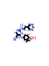 CC1(C)C[C@H](Nc2nc(NCCc3cncnc3)ncc2C#N)CC[C@@H]1O